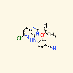 CC(C)Oc1cc(C#N)ccc1Nc1ncnc2ccc(Cl)nc12